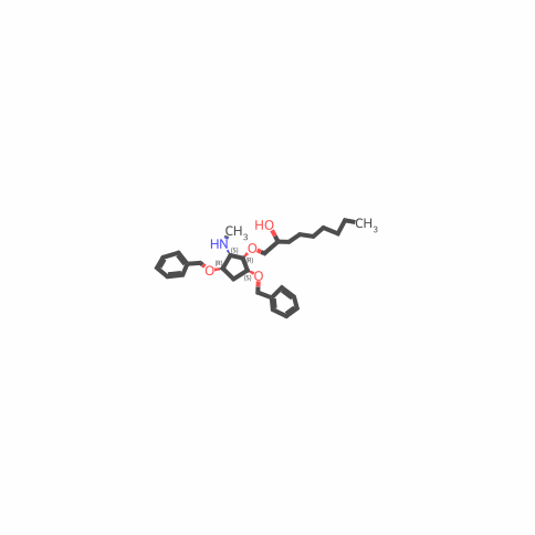 CCCCCCCC(O)CO[C@@H]1[C@@H](NC)[C@H](OCc2ccccc2)C[C@@H]1OCc1ccccc1